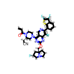 C=CC(=O)N1CCN(c2nc(OC[C@@]34CCCN3C[C@H](F)C4)nc3c(F)c(-c4cccc5c(F)c(F)sc45)ncc23)C[C@@H]1CC#N